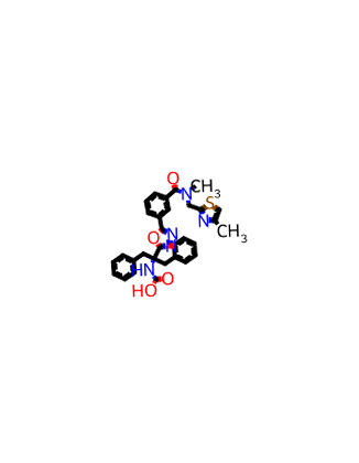 Cc1csc(CN(C)C(=O)c2cccc(-c3nnc(C(Cc4ccccc4)(Cc4ccccc4)NC(=O)O)o3)c2)n1